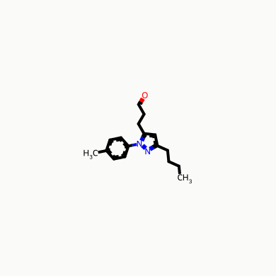 CCCCc1cc(CCC=O)n(-c2ccc(C)cc2)n1